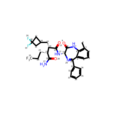 Cc1cccc2c1NC(=O)[C@@H](NC(=O)[C@@H](CC1CC(F)(F)C1)[C@@H](CCC(F)(F)F)C(N)=O)N=C2c1ccccc1